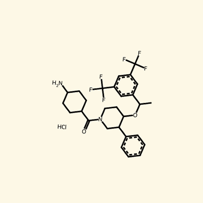 CC(OC1CCN(C(=O)C2CCC(N)CC2)CC1c1ccccc1)c1cc(C(F)(F)F)cc(C(F)(F)F)c1.Cl